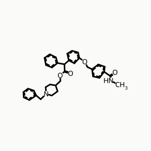 CNC(=O)c1ccc(COc2cccc(C(C(=O)OCC3CCN(Cc4ccccc4)CC3)c3ccccc3)c2)cc1